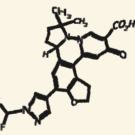 CC1(C)CC[C@H]2c3cc(-c4cnn(C(F)F)c4)c4c(c3-c3cc(=O)c(C(=O)O)cn3N21)CCO4